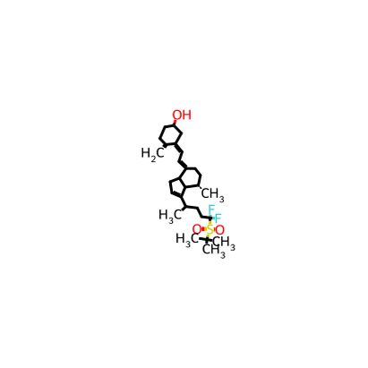 C=C1CCC(O)CC1=CC=C1CC[C@H](C)C2C(C(C)CCC(F)(F)S(=O)(=O)C(C)(C)C)=CCC12